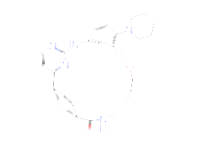 O=C1NCCCCOCc2cc(ccc2N2CCCCC2)Nc2nccc(n2)-c2ccc1c(F)c2